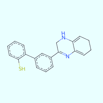 Sc1ccccc1-c1cccc(C2=NC3=CCCC=C3NC2)c1